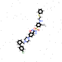 O=[N+]([O-])c1cc(S(=O)(=O)Nc2noc3cc(N4CCN(Cc5ccccc5-c5ccc(Cl)cc5)CC4)ccc23)ccc1NCCSc1ccccc1